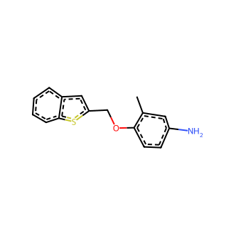 Cc1cc(N)ccc1OCc1cc2ccccc2s1